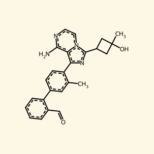 Cc1cc(-c2ccccc2C=O)ccc1-c1nc(C2CC(C)(O)C2)n2ccnc(N)c12